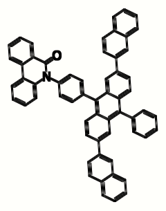 O=c1c2ccccc2c2ccccc2n1-c1ccc(-c2c3ccc(-c4ccc5ccccc5c4)cc3c(-c3ccccc3)c3ccc(-c4ccc5ccccc5c4)cc23)cc1